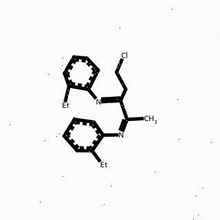 CCc1ccccc1N=C(C)C(CCCl)=Nc1ccccc1CC